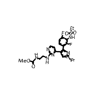 CCS(=O)(=O)Nc1c(F)ccc(-c2nn(C(C)C)cc2-c2ccnc(NCCNC(=O)OC)n2)c1F